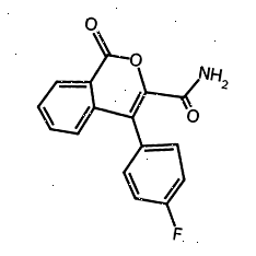 NC(=O)c1oc(=O)c2ccccc2c1-c1ccc(F)cc1